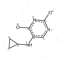 Clc1ncc(NC2CC2)c(Cl)n1